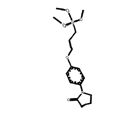 CO[Si](CCCOc1ccc(N2CCCC2=O)cc1)(OC)OC